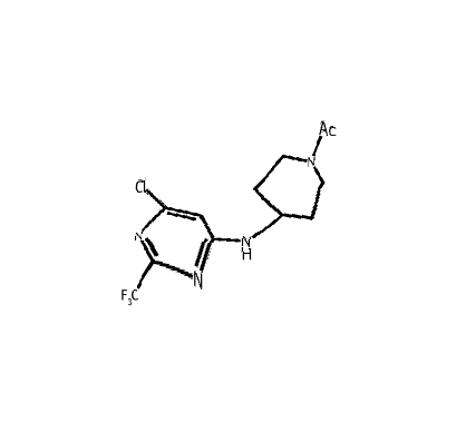 CC(=O)N1CCC(Nc2cc(Cl)nc(C(F)(F)F)n2)CC1